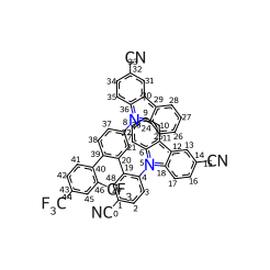 N#Cc1ccc(-n2c3ccccc3c3cc(C#N)ccc32)c(-c2cc(-n3c4ccccc4c4cc(C#N)ccc43)ccc2-c2ccc(C(F)(F)F)cc2C(F)(F)F)c1